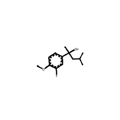 COc1ccc(C(C)(O)CC(C)C)cc1F